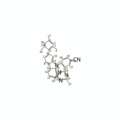 Cc1cc(C)c(-c2ccc3c4ccccc4n(-c4ccc(C#N)cc4-c4nc(C)nc(C)n4)c3c2)c(C)c1